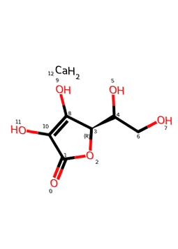 O=C1O[C@H](C(O)CO)C(O)=C1O.[CaH2]